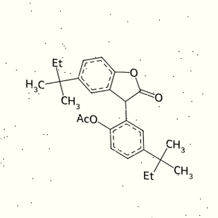 CCC(C)(C)c1ccc(OC(C)=O)c(C2C(=O)Oc3ccc(C(C)(C)CC)cc32)c1